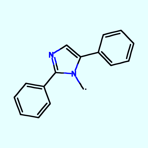 [CH2]n1c(-c2ccccc2)cnc1-c1ccccc1